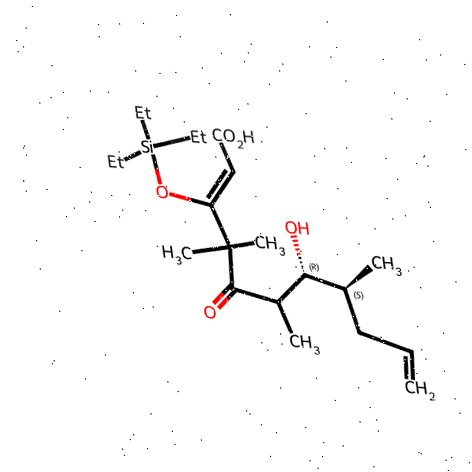 C=CC[C@H](C)[C@@H](O)C(C)C(=O)C(C)(C)C(=CC(=O)O)O[Si](CC)(CC)CC